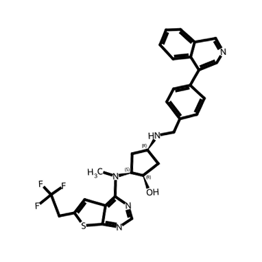 CN(c1ncnc2sc(CC(F)(F)F)cc12)[C@H]1C[C@@H](NCc2ccc(-c3cncc4ccccc34)cc2)C[C@H]1O